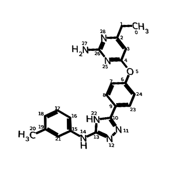 CCc1cc(Oc2ccc(-c3nnc(Nc4cccc(C)c4)[nH]3)cc2)nc(N)n1